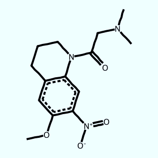 COc1cc2c(cc1[N+](=O)[O-])N(C(=O)CN(C)C)CCC2